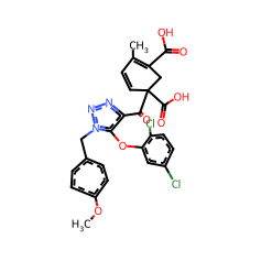 COc1ccc(Cn2nnc(C(=O)C3(C(=O)O)C=CC(C)=C(C(=O)O)C3)c2Oc2cc(Cl)ccc2Cl)cc1